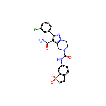 NC(=O)c1c(-c2cccc(F)c2)nn2c1CN(C(=O)Nc1ccc3c(c1)S(=O)(=O)C=C3)CC2